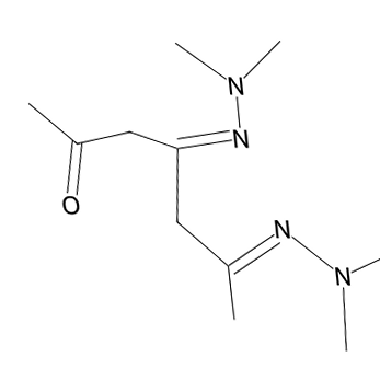 CC(=O)CC(CC(C)=NN(C)C)=NN(C)C